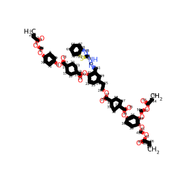 C=CC(=O)OCOc1ccc(OC(=O)C2CCC(C(=O)Oc3ccc(CCOC(=O)C4CCC(C(=O)Oc5ccc(OCOC(=O)C=C)c(OCOC(=O)C=C)c5)CC4)cc3/C=N/Nc3nc4ccccc4s3)CC2)cc1